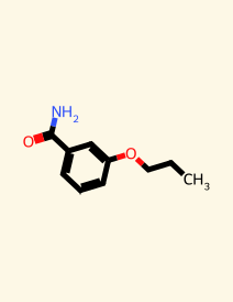 CCCOc1c[c]cc(C(N)=O)c1